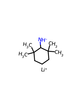 CC1(C)CCCC(C)(C)C1[NH-].[Li+]